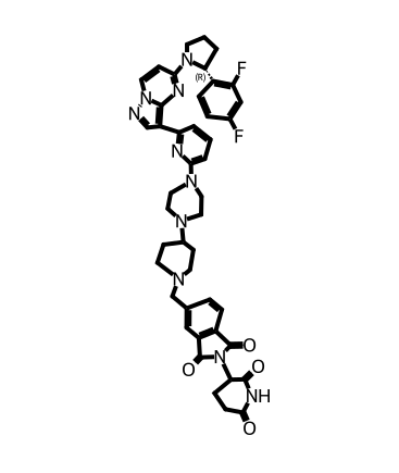 O=C1CCC(N2C(=O)c3ccc(CN4CCC(N5CCN(c6cccc(-c7cnn8ccc(N9CCC[C@@H]9c9ccc(F)cc9F)nc78)n6)CC5)CC4)cc3C2=O)C(=O)N1